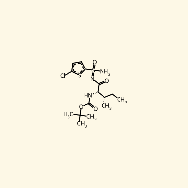 CC[C@H](C)[C@H](NC(=O)OC(C)(C)C)C(=O)N=S(N)(=O)c1ccc(Cl)s1